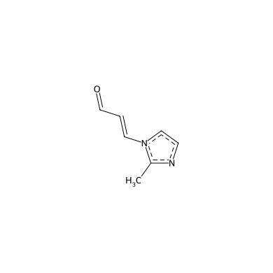 Cc1nccn1C=CC=O